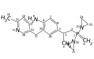 C=P(CC(C)c1ccc(N)c(Cc2ccc(C)nc2)c1)(N1CC1)N1CC1